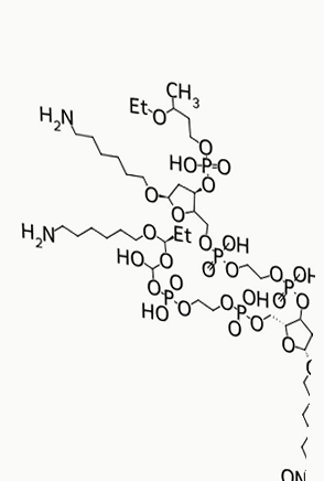 CCOC(C)CCOP(=O)(O)O[C@@H]1C[C@H](OCCCCCCN)OC1COP(=O)(O)OCCOP(=O)(O)OC1C[C@H](OCCCCCCN=O)O[C@@H]1COP(=O)(O)OCCOP(=O)(O)OC(O)O[C@H](CC)OCCCCCCN